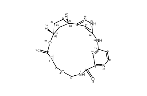 O=C1NCCCNC(=O)c2nccc(n2)Nc2cc(n[nH]2)[C@H]2CC[C@H](C2)O1